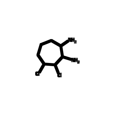 NC1CCCC(Cl)C(Cl)C1N